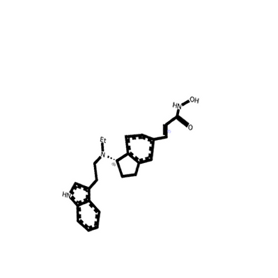 CCN(CCc1c[nH]c2ccccc12)[C@H]1CCc2cc(/C=C/C(=O)NO)ccc21